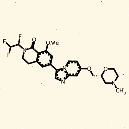 COc1cc(-c2cnc3cc(OC[C@H]4CN(C)CCO4)ccn23)cc2c1C(=O)N(C(F)C(F)F)CC2